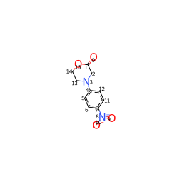 O=C1CN(c2ccc([N+](=O)[O-])cc2)CCO1